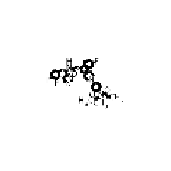 C=CC(=O)N1CC(C)(C)Oc2cc(N3CCC4(CC3)C[C@@H](CC(=O)N[C@@H](Cc3ccc(F)c(F)c3)c3ccncn3)c3ccc(F)cc34)ccc21